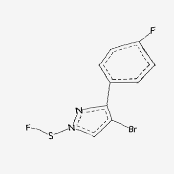 FSn1cc(Br)c(-c2ccc(F)cc2)n1